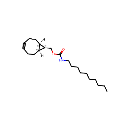 CCCCCCCCCCNC(=O)OC[C@@H]1[C@@H]2CCC#CCC[C@@H]21